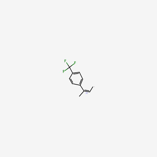 [CH2]/C=C(/C)c1ccc(C(F)(F)F)cc1